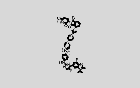 Cc1nc2c(F)cc(-c3nc(Nc4ccc(S(=O)(=O)N5CCN(C6CCN(C7CN(c8cccc9c8C(=O)N(C8CCC(=O)NC8=O)C9=O)C7)CC6)CC5)cc4)ncc3F)cc2n1C(C)C